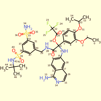 CCOc1cc(C(Nc2ccc3c(N)nccc3c2)(OC(=O)C(F)(F)F)C(=O)NCc2cc(S(N)(=O)=O)cc(S(=O)(=O)NC(C)(C)C)c2)ccc1OC(C)C